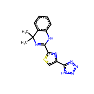 CC1(C)N=C(c2nc(-c3nnn[nH]3)cs2)Nc2ccccc21